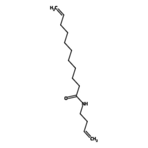 C=CCCCCCCCCC(=O)NCCC=C